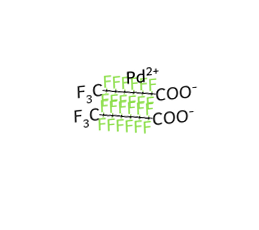 O=C([O-])C(F)(F)C(F)(F)C(F)(F)C(F)(F)C(F)(F)C(F)(F)C(F)(F)F.O=C([O-])C(F)(F)C(F)(F)C(F)(F)C(F)(F)C(F)(F)C(F)(F)C(F)(F)F.[Pd+2]